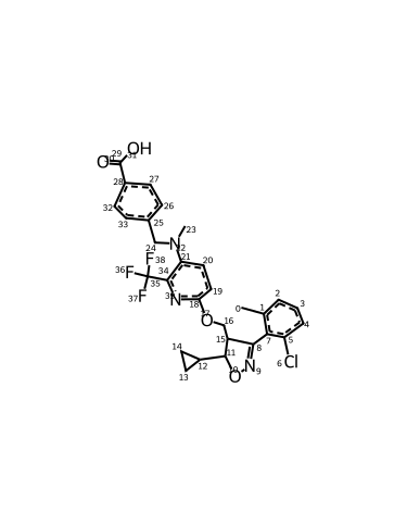 Cc1cccc(Cl)c1C1=NOC(C2CC2)C1COc1ccc(N(C)Cc2ccc(C(=O)O)cc2)c(C(F)(F)F)n1